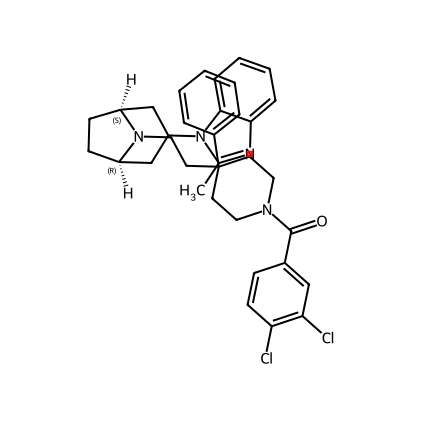 Cc1nc2ccccc2n1C1C[C@H]2CC[C@@H](C1)N2CCC1(c2ccccc2)CCN(C(=O)c2ccc(Cl)c(Cl)c2)CC1